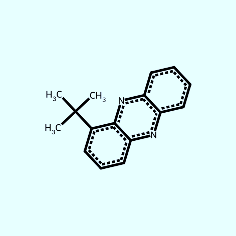 CC(C)(C)c1cccc2nc3ccccc3nc12